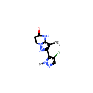 CC(C)n1ncc(Cl)c1-c1nn2c(c1[N+](=O)[O-])NC(=O)CC2